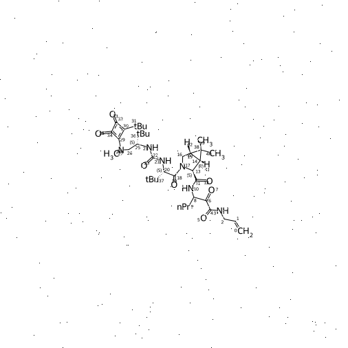 C=CCNC(=O)C(=O)C(CCC)NC(=O)[C@@H]1[C@@H]2[C@H](CN1C(=O)[C@@H](NC(=O)N[C@H](CN(C)c1c(C(C)(C)C)c(=O)c1=O)C(C)(C)C)C(C)(C)C)C2(C)C